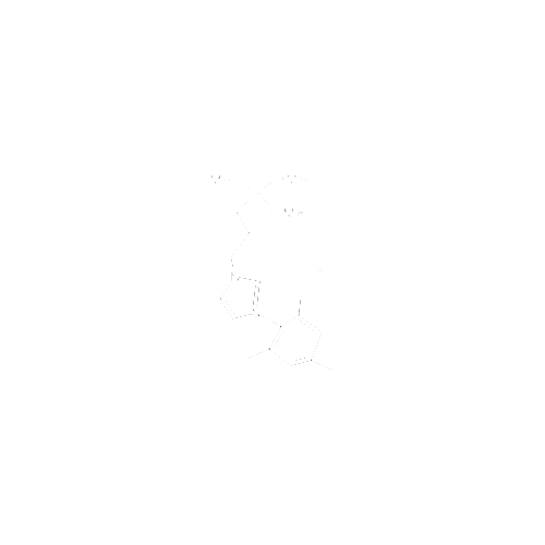 CO[Si](CCCn1cc[n+](-c2c(C)cc(C)cc2C)c1)(OC)OC.[Br-]